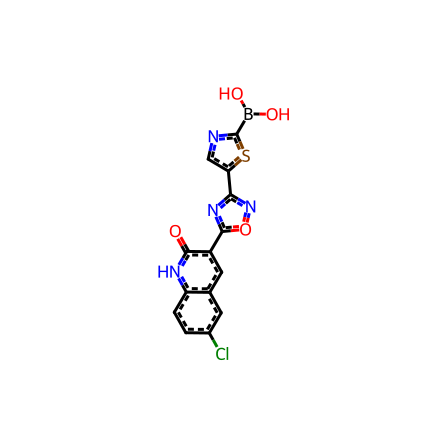 O=c1[nH]c2ccc(Cl)cc2cc1-c1nc(-c2cnc(B(O)O)s2)no1